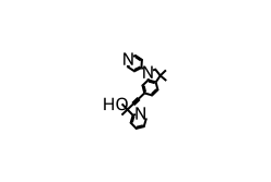 CC(O)(C#Cc1ccc2c(c1)N(c1ccncc1)CC2(C)C)c1ccccn1